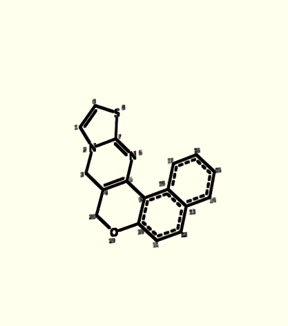 C1=CN2CC3=C(N=C2S1)c1c(ccc2ccccc12)OC3